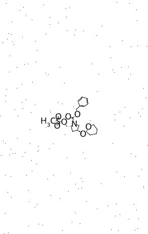 CS(=O)(=O)OC[C@H]1C[C@H](OC2CCCCO2)CN1C(=O)OCc1ccccc1